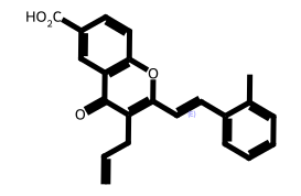 C=CCc1c(/C=C/c2ccccc2C)oc2ccc(C(=O)O)cc2c1=O